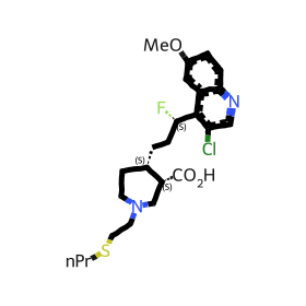 CCCSCCN1CC[C@H](CC[C@H](F)c2c(Cl)cnc3ccc(OC)cc23)[C@H](C(=O)O)C1